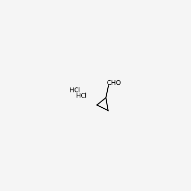 Cl.Cl.O=CC1CC1